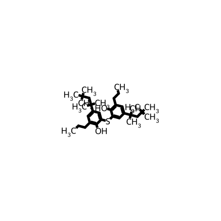 CCCc1cc(C(C)(C)CC(C)(C)C)cc(Sc2cc(C(C)(C)CC(C)(C)C)cc(CCC)c2O)c1O